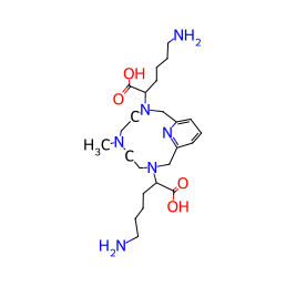 CN1CCN(C(CCCCN)C(=O)O)Cc2cccc(n2)CN(C(CCCCN)C(=O)O)CC1